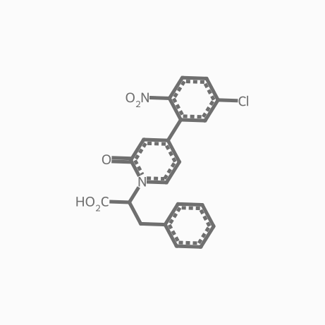 O=C(O)C(Cc1ccccc1)n1ccc(-c2cc(Cl)ccc2[N+](=O)[O-])cc1=O